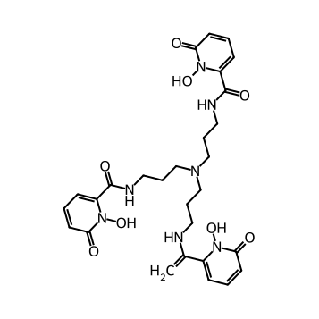 C=C(NCCCN(CCCNC(=O)c1cccc(=O)n1O)CCCNC(=O)c1cccc(=O)n1O)c1cccc(=O)n1O